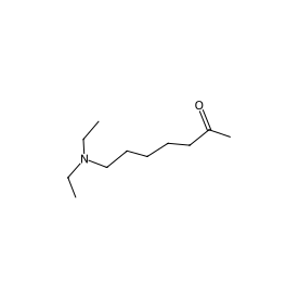 CCN(CC)CCCCCC(C)=O